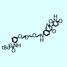 CC(C)(C)OC(=O)Nc1cccc(OCCOCCOCCNc2ccc3c(=O)n(C4CCC(=O)NC4=O)ncc3c2)c1